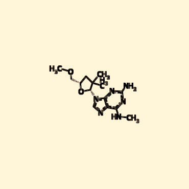 CNc1nc(N)nc2c1ncn2[C@@H]1O[C@H](COC)CC1(C)C